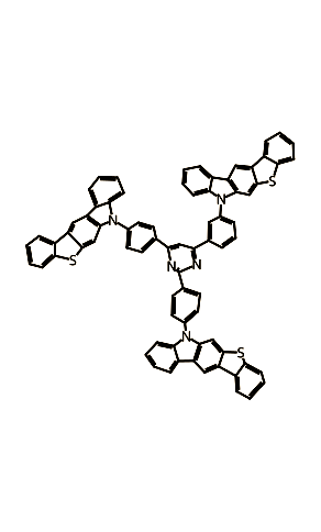 c1cc(-c2cc(-c3ccc(-n4c5ccccc5c5cc6c(cc54)sc4ccccc46)cc3)nc(-c3ccc(-n4c5ccccc5c5cc6c(cc54)sc4ccccc46)cc3)n2)cc(-n2c3ccccc3c3cc4c(cc32)sc2ccccc24)c1